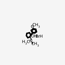 Br.COc1cccc([C@@]2(O)CCCC[C@@H]2CN(C)C)c1